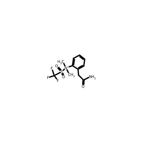 C[N+](C)(c1ccccc1CC(N)=O)S(=O)(=O)C(F)(F)F